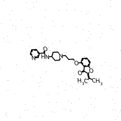 CC(C)=C1Oc2cccc(OCCCN3CCC(NC(=O)c4cccnc4)CC3)c2C1=O